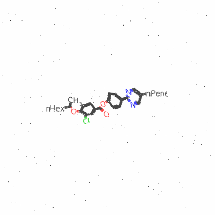 CCCCCCC(C)Oc1ccc(C(=O)Oc2ccc(-c3ncc(CCCCC)cn3)cc2)cc1Cl